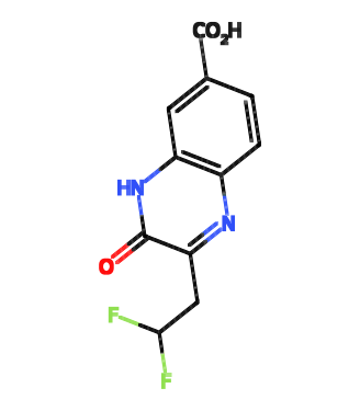 O=C(O)c1ccc2nc(CC(F)F)c(=O)[nH]c2c1